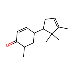 CC1=CCC(C2C=CC(=O)C(C)C2)C1(C)C